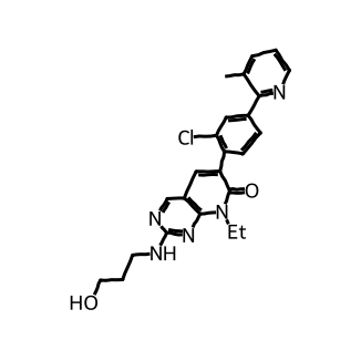 CCn1c(=O)c(-c2ccc(-c3ncccc3C)cc2Cl)cc2cnc(NCCCO)nc21